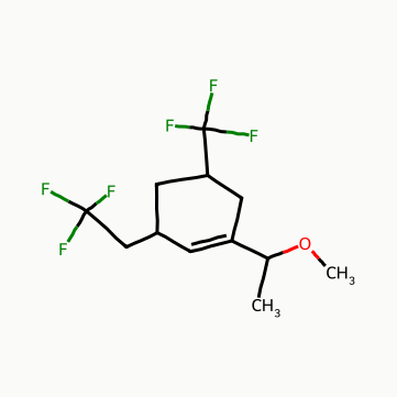 COC(C)C1=CC(CC(F)(F)F)CC(C(F)(F)F)C1